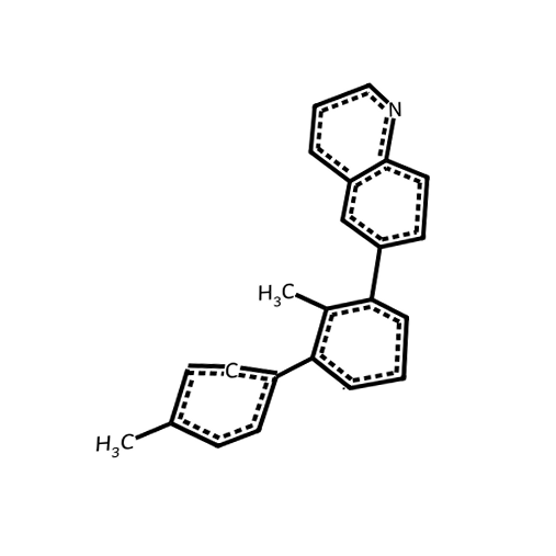 Cc1ccc(-c2[c]ccc(-c3ccc4ncccc4c3)c2C)cc1